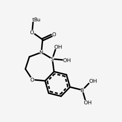 CC(C)(C)OC(=O)N1CCOc2ccc(B(O)O)cc2S1(O)O